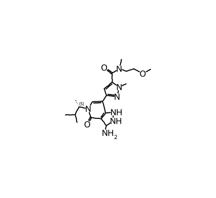 COCCN(C)C(=O)c1cc(-c2cn([C@@H](C)C(C)C)c(=O)c3c2NNC3N)nn1C